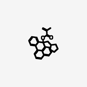 C=C(C)C(=O)OC1(CC2CCCC2)c2ccccc2-c2cccc3cccc1c23